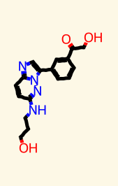 O=C(CO)c1cccc(-c2cnc3ccc(NCCCO)nn23)c1